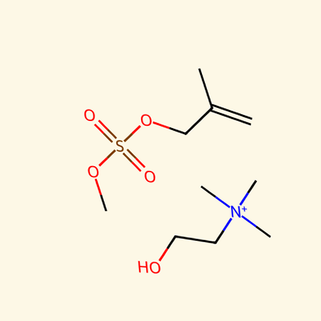 C=C(C)COS(=O)(=O)OC.C[N+](C)(C)CCO